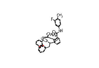 COC(=O)C1=C(C(=O)Nc2ccc(C)c(F)c2)C2C=CC1(C(Cc1ccccc1)Oc1cccnc1)O2